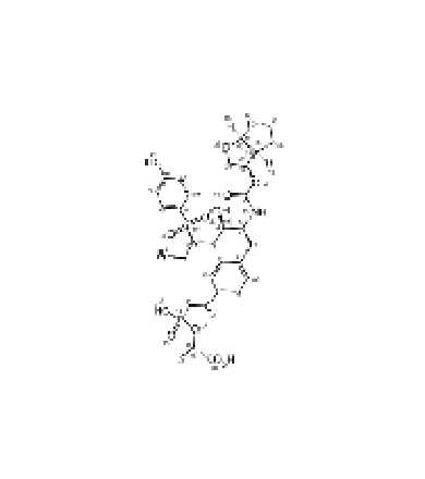 CC(C)CN(C[C@@H](O)[C@H](Cc1ccc(OCP(=O)(O)O[C@@H](C)C(=O)O)cc1)NC(=O)O[C@H]1CO[C@H]2OCC[C@H]21)S(=O)(=O)c1ccc(O)cc1